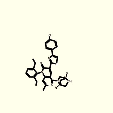 CCc1cccc(CC)c1-n1c(C=C(C)C)c(C(=O)N2C[C@H]3C[C@@H]2CN3)cc(-c2nc(-c3ccc(Cl)cc3)cs2)c1=O